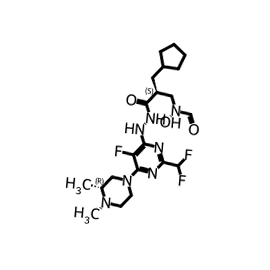 C[C@@H]1CN(c2nc(C(F)F)nc(NNC(=O)[C@@H](CC3CCCC3)CN(O)C=O)c2F)CCN1C